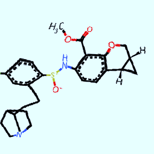 COC(=O)c1c(N[S+]([O-])c2ccc(F)cc2CC2CN3CCC2CC3)ccc2c1OC[C@@H]1C[C@H]21